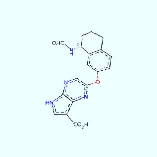 O=CN[C@@H]1CCCc2ccc(Oc3cnc4[nH]cc(C(=O)O)c4n3)cc21